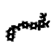 CC(C)C(NS(=O)(=O)c1ccc(-c2ccc(OC(=O)Nc3ccc4ccccc4c3)cc2)cc1)C(=O)OC(C)(C)C